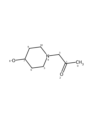 CC(=O)CN1CCC([O])CC1